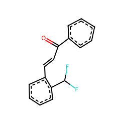 O=C(C=Cc1ccccc1C(F)F)c1ccccc1